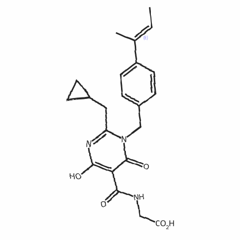 C/C=C(\C)c1ccc(Cn2c(CC3CC3)nc(O)c(C(=O)NCC(=O)O)c2=O)cc1